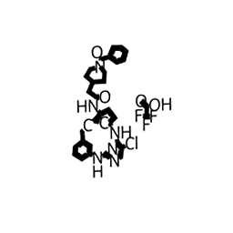 O=C(CC1CCN(C(=O)c2ccccc2)CC1)Nc1ccc2cc1CCc1cccc(c1)Nc1ncc(Cl)c(n1)N2.O=C(O)C(F)(F)F